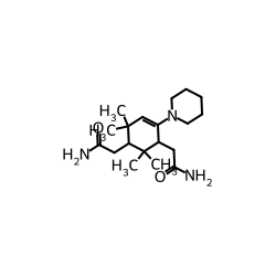 CC1(C)C=C(N2CCCCC2)C(CC(N)=O)C(C)(C)C1CC(N)=O